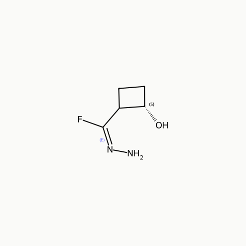 N/N=C(/F)C1CC[C@@H]1O